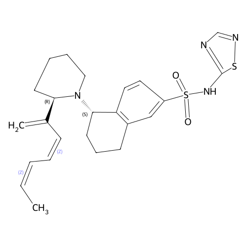 C=C(/C=C\C=C/C)[C@H]1CCCCN1[C@H]1CCCc2cc(S(=O)(=O)Nc3ncns3)ccc21